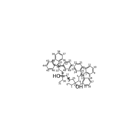 CCC(O)(CC[Si](c1ccccc1)(c1ccccc1)c1ccccc1)CSCC(O)(CC)CC[Si](c1ccccc1)(c1ccccc1)c1ccccc1